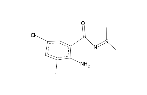 Cc1cc(Cl)cc(C(=O)N=S(C)C)c1N